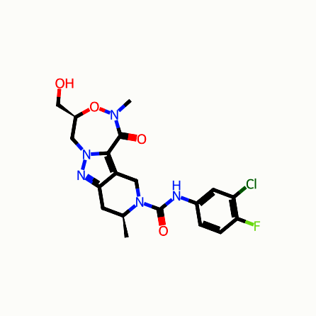 C[C@H]1Cc2nn3c(c2CN1C(=O)Nc1ccc(F)c(Cl)c1)C(=O)N(C)O[C@H](CO)C3